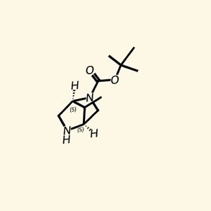 CC1[C@H]2CN[C@@H]1CN2C(=O)OC(C)(C)C